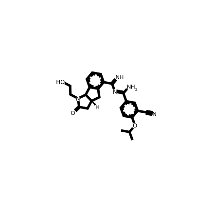 CC(C)Oc1ccc(/C(N)=N/C(=N)c2cccc3c2C[C@@H]2CC(=O)N(CCO)C32)cc1C#N